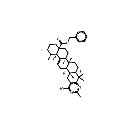 Cc1nc(O)c2c(n1)C(C)(C)[C@@H]1CC[C@]3(C)[C@H](CC=C4[C@@H]5[C@@H](C)[C@H](C)CC[C@]5(C(=O)OCc5ccccc5)CC[C@]43C)[C@@]1(C)C2